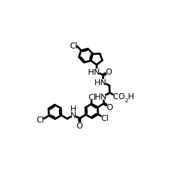 O=C(NCC(NC(=O)c1c(Cl)cc(C(=O)NCc2cccc(Cl)c2)cc1Cl)C(=O)O)NC1CCc2cc(Cl)ccc21